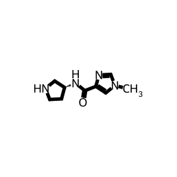 Cn1cnc(C(=O)N[C@@H]2CCNC2)c1